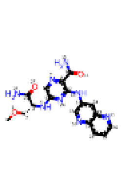 COC[C@@H](Nc1cnc(C(N)=O)c(Nc2cnc3cccnc3c2)n1)C(N)=O